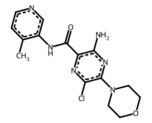 Cc1ccncc1NC(=O)c1nc(Cl)c(N2CCOCC2)nc1N